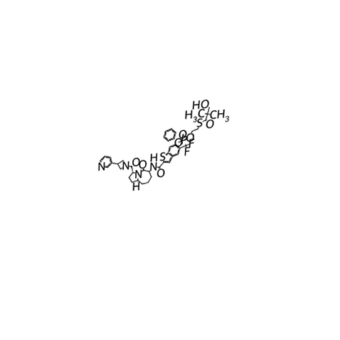 CC(C)(CO)C(=O)SCCOP(=O)(Oc1ccccc1)C(F)(F)c1ccc2sc(C(=O)N[C@H]3CCC[C@H]4CC[C@@H](C(=O)N5CC(c6cccnc6)C5)N4C3=O)cc2c1